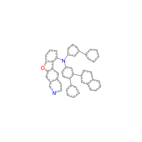 c1ccc(-c2cccc(N(c3ccc(-c4ccccc4)c(-c4ccc5ccccc5c4)c3)c3cccc4oc5cc6cnccc6cc5c34)c2)cc1